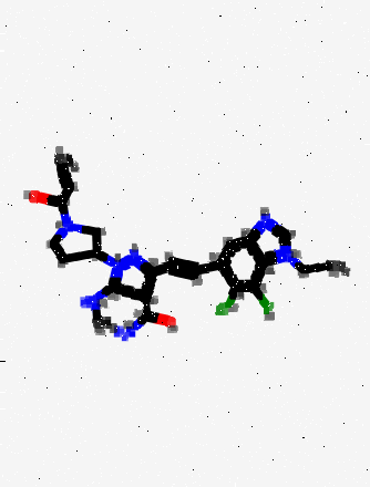 C=CC(=O)N1CCC(n2nc(C#Cc3cc4ncn(CC)c4c(F)c3Cl)c(C(N)=O)c2NC)C1